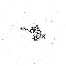 C=CC(Nc1cc(OCCCO)nc(SCc2cccc(F)c2F)n1)S(=O)(=O)N1CCN(C(=O)OC(C)(C)C)CC1